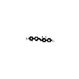 CCCCc1ccc(C2CCC(CCc3ccc(C4CCC(CC)CC4)c(F)c3F)CC2)c(F)c1